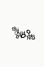 CC(C)(C)CC(=O)NC1(c2ccc(C3N=C4C=CC=NN4C3c3ccccc3)cc2)CCC1